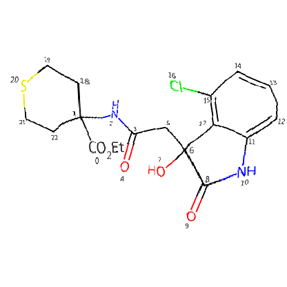 CCOC(=O)C1(NC(=O)CC2(O)C(=O)Nc3cccc(Cl)c32)CCSCC1